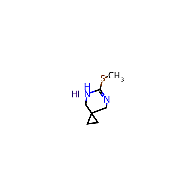 CSC1=NCC2(CC2)CN1.I